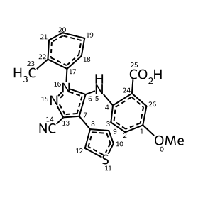 COc1ccc(Nc2c(-c3ccsc3)c(C#N)nn2-c2ccccc2C)c(C(=O)O)c1